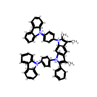 Cc1c(C)n(-c2ccc(-n3c4ccccc4c4ccccc43)cc2)c2cc3c(cc12)c(C)c(-c1ccccc1)n3-c1ccc(-n2c3ccccc3c3ccccc32)cc1